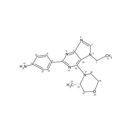 CCn1cnc2nc(-c3ccc(N)cc3)nc(N3CCOC[C@@H]3C)c21